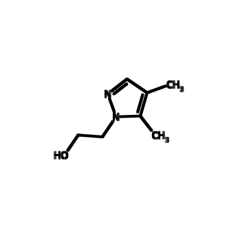 Cc1cnn(CCO)c1C